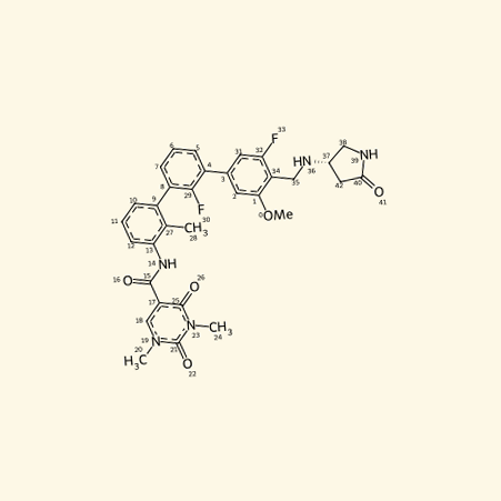 COc1cc(-c2cccc(-c3cccc(NC(=O)c4cn(C)c(=O)n(C)c4=O)c3C)c2F)cc(F)c1CN[C@@H]1CNC(=O)C1